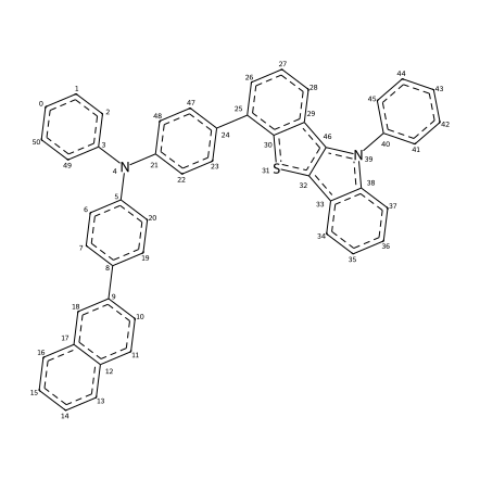 c1ccc(N(c2ccc(-c3ccc4ccccc4c3)cc2)c2ccc(-c3cccc4c3sc3c5ccccc5n(-c5ccccc5)c43)cc2)cc1